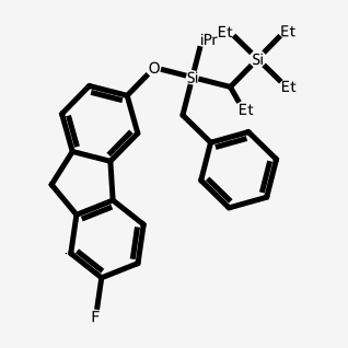 CCC([Si](CC)(CC)CC)[Si](Cc1ccccc1)(Oc1ccc2c(c1)-c1ccc(F)[c]c1C2)C(C)C